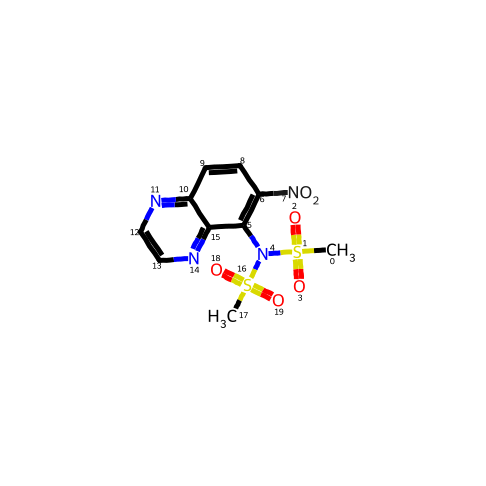 CS(=O)(=O)N(c1c([N+](=O)[O-])ccc2nccnc12)S(C)(=O)=O